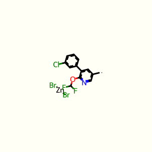 [Br][Zn][Br].[CH2]c1cnc(OC(F)F)c(-c2cccc(Cl)c2)c1